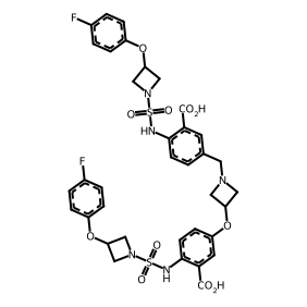 O=C(O)c1cc(CN2CC(Oc3ccc(NS(=O)(=O)N4CC(Oc5ccc(F)cc5)C4)c(C(=O)O)c3)C2)ccc1NS(=O)(=O)N1CC(Oc2ccc(F)cc2)C1